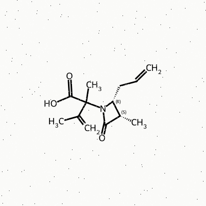 C=CC[C@@H]1[C@H](C)C(=O)N1C(C)(C(=C)C)C(=O)O